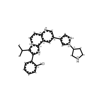 CC(C)c1c(-c2ccccc2Cl)nc2c3cc(-c4cnn(C5CCNC5)c4)cnc3ccn12